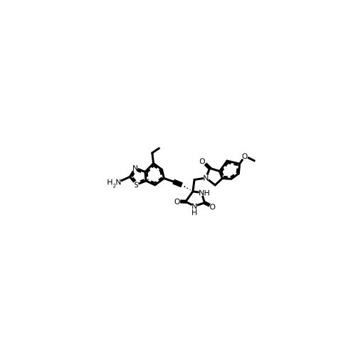 CCc1cc(C#C[C@]2(CN3Cc4ccc(OC)cc4C3=O)NC(=O)NC2=O)cc2sc(N)nc12